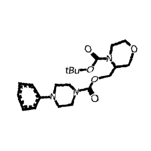 CC(C)(C)OC(=O)N1CCOCC1COC(=O)N1CCN(c2ccccc2)CC1